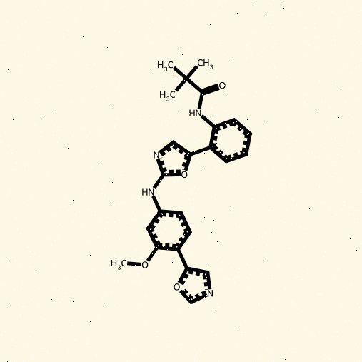 COc1cc(Nc2ncc(-c3ccccc3NC(=O)C(C)(C)C)o2)ccc1-c1cnco1